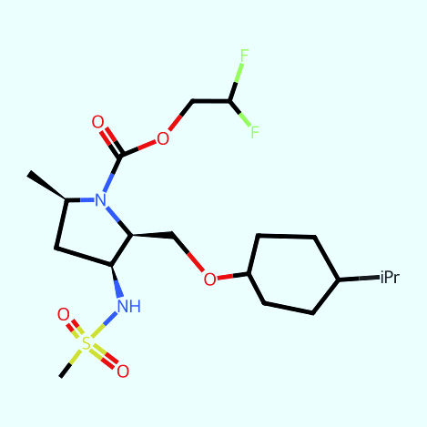 CC(C)C1CCC(OC[C@H]2[C@@H](NS(C)(=O)=O)C[C@@H](C)N2C(=O)OCC(F)F)CC1